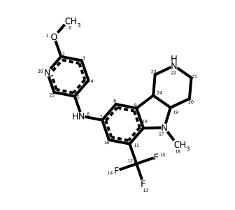 COc1ccc(Nc2cc3c(c(C(F)(F)F)c2)N(C)C2CCNCC32)cn1